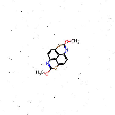 COC1=Nc2ccc3c4c(ccc(c24)S1)N=C(OC)S3